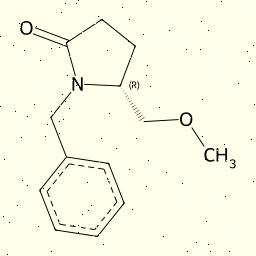 COC[C@H]1CCC(=O)N1Cc1ccccc1